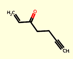 C#CCCC(=O)C=C